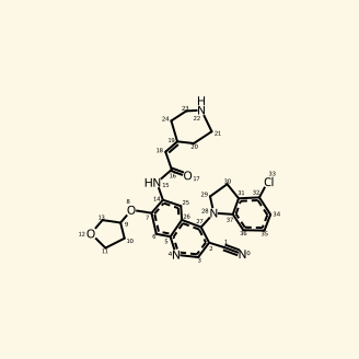 N#Cc1cnc2cc(OC3CCOC3)c(NC(=O)C=C3CCNCC3)cc2c1N1CCc2c(Cl)cccc21